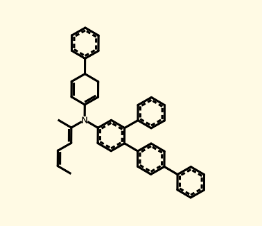 C/C=C\C=C(/C)N(C1=CCC(c2ccccc2)C=C1)c1ccc(-c2ccc(-c3ccccc3)cc2)c(-c2ccccc2)c1